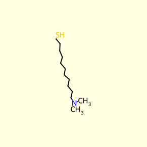 CN(C)CCCCCCCCCCCS